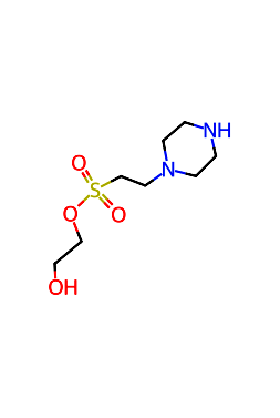 O=S(=O)(CCN1CCNCC1)OCCO